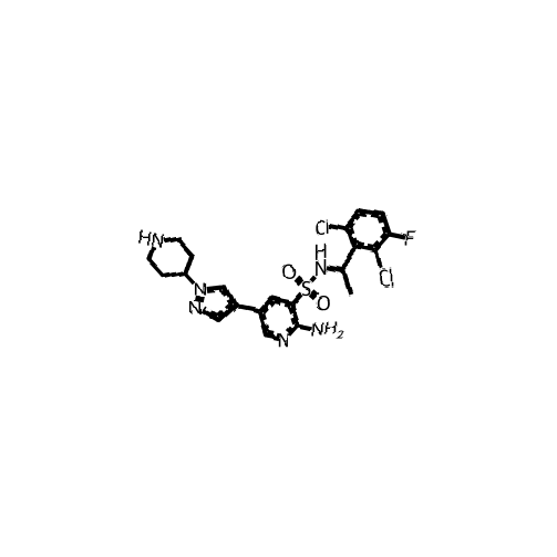 CC(NS(=O)(=O)c1cc(-c2cnn(C3CCNCC3)c2)cnc1N)c1c(Cl)ccc(F)c1Cl